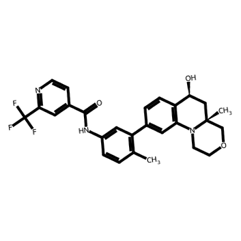 Cc1ccc(NC(=O)c2ccnc(C(F)(F)F)c2)cc1-c1ccc2c(c1)N1CCOC[C@@]1(C)C[C@@H]2O